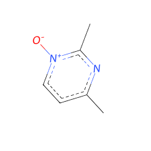 Cc1cc[n+]([O-])c(C)n1